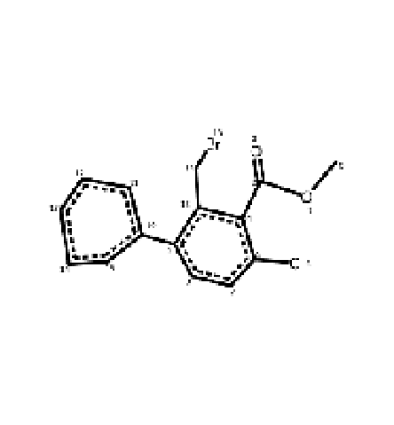 COC(=O)c1c(Cl)ccc(-c2ccccc2)c1CBr